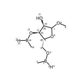 [2H]B(C)OC[C@H]1OC(OC)[C@H](O)[C@@H]1OB([2H])C